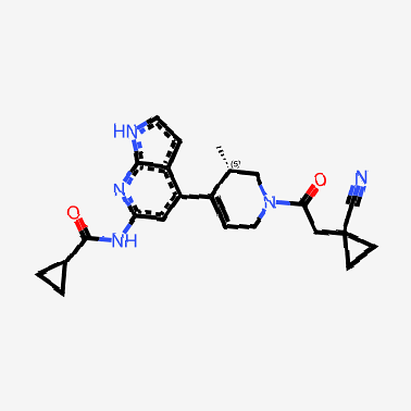 C[C@@H]1CN(C(=O)CC2(C#N)CC2)CC=C1c1cc(NC(=O)C2CC2)nc2[nH]ccc12